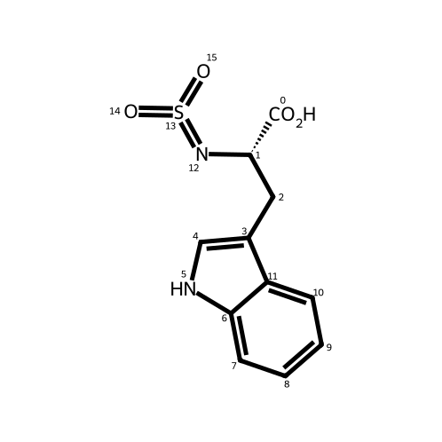 O=C(O)[C@H](Cc1c[nH]c2ccccc12)N=S(=O)=O